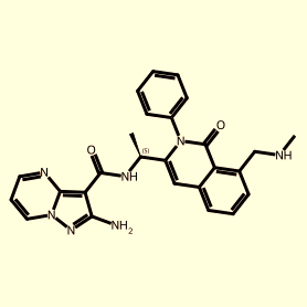 CNCc1cccc2cc([C@H](C)NC(=O)c3c(N)nn4cccnc34)n(-c3ccccc3)c(=O)c12